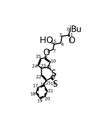 CCC(C)C(=O)CCC(O)COC1=CC2SC(=S)C(c3ccccc3)=CC2C=C1